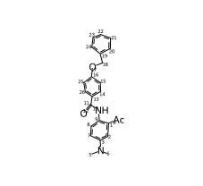 CC(=O)c1cc(N(C)C)ccc1NC(=O)c1ccc(OCc2ccccc2)cc1